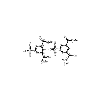 COC(=O)c1cc(C(=O)OC)cc(S(=O)(=O)[O-])c1.COC(=O)c1cc(C(=O)OC)cc(S(=O)(=O)[O-])c1.[Ba+2]